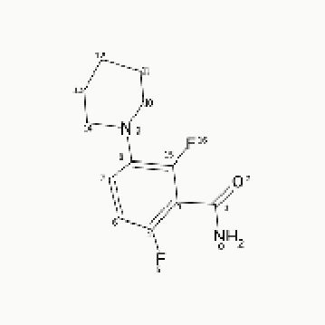 NC(=O)c1c(F)ccc(N2CCCCC2)c1F